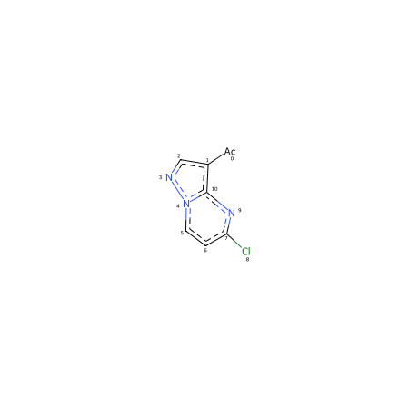 CC(=O)c1cnn2ccc(Cl)nc12